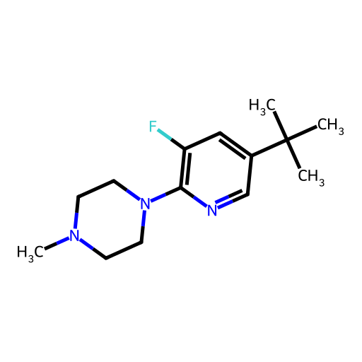 CN1CCN(c2ncc(C(C)(C)C)cc2F)CC1